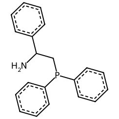 NC(CP(c1ccccc1)c1ccccc1)c1ccccc1